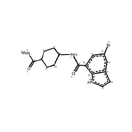 CNC(=O)C1CCC(NC(=O)c2cc(Br)cc3cc[nH]c23)CC1